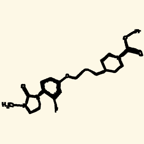 CC(C)OC(=O)N1CCC(CCCOc2ccc(N3CCN(C)C3=O)c(F)c2)CC1